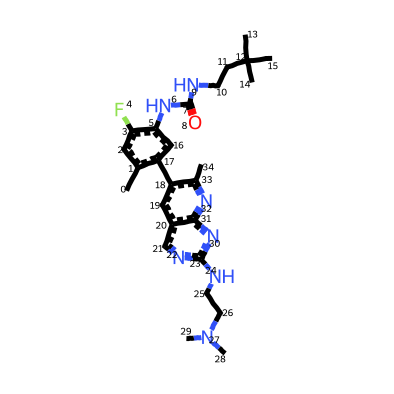 Cc1cc(F)c(NC(=O)NCCC(C)(C)C)cc1-c1cc2cnc(NCCN(C)C)nc2nc1C